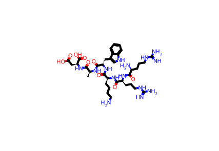 C[C@H](NC(=O)[C@H](Cc1c[nH]c2ccccc12)NC(=O)[C@H](CCCCN)NC(=O)[C@H](CCCNC(=N)N)NC(=O)[C@@H](N)CCCNC(=N)N)C(=O)N[C@@H](CC(=O)O)C(=O)O